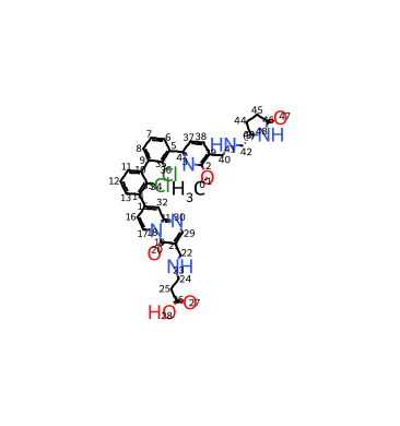 COc1nc(-c2cccc(-c3cccc(-c4ccn5c(=O)c(CNCCC(=O)O)cnc5c4)c3Cl)c2Cl)ccc1CNC[C@@H]1CCC(=O)N1